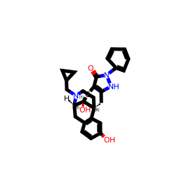 O=c1c2c([nH]n1-c1ccccc1)C[C@]13CCN(CC4CC4)[C@H](Cc4ccc(O)cc41)[C@]3(O)C2